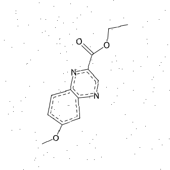 CCOC(=O)c1cnc2cc(OC)ccc2n1